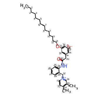 CCCCCCCCCCCCCCOc1cccc(CC(=O)Nc2ccccc2C[n+]2ccc(C)c(C)c2)c1.[Br-]